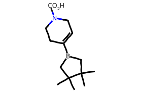 CC1(C)CB(C2=CCN(C(=O)O)CC2)CC1(C)C